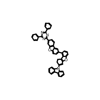 C1=C(n2c3ccccc3c3ccccc32)CCc2c1oc1cccc(-c3ccc4oc5cc(-c6nc(-c7ccccc7)nc(-c7ccccc7)n6)ccc5c4c3)c21